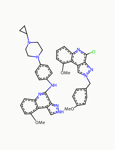 COc1ccc(Cn2cc3c(n2)c(Cl)nc2cccc(OC)c23)cc1.COc1cccc2nc(Nc3ccc(N4CCN(C5CC5)CC4)cc3)c3n[nH]cc3c12